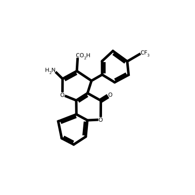 NC1=C(C(=O)O)C(c2ccc(C(F)(F)F)cc2)c2c(c3ccccc3oc2=O)O1